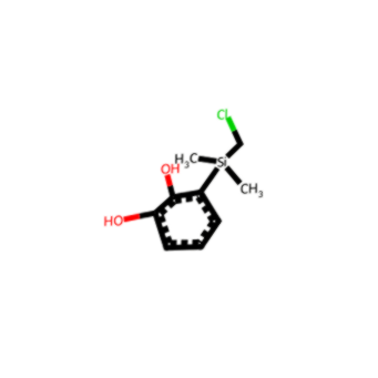 C[Si](C)(CCl)c1cccc(O)c1O